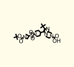 CC(C)(C)OC(=O)N1CC(S(=O)(=O)N2CCC(c3c(C(C)(C)C)nc4n3CCN(C(=O)O)C4)CC2)C1